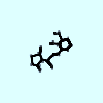 COc1cccc(C=CC(=O)C2C(=O)CCC2=O)c1O